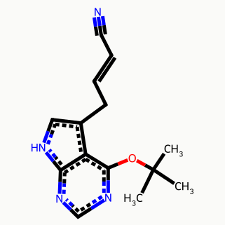 CC(C)(C)Oc1ncnc2[nH]cc(CC=CC#N)c12